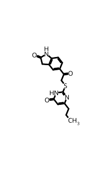 CCCc1cc(=O)[nH]c(SCC(=O)c2ccc3c(c2)CC(=O)N3)n1